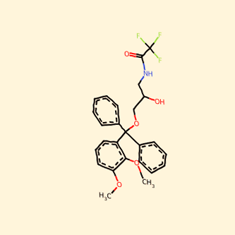 COc1cccc(C(OCC(O)CNC(=O)C(F)(F)F)(c2ccccc2)c2ccccc2)c1OC